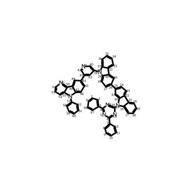 c1ccc(-c2nc(-c3ccccc3)nc(-n3c4ccccc4c4ccc(-c5ccc6c(c5)c5ccccc5n6-c5cncc(-c6ccc7c(c6)c6ncccc6n7-c6ccccc6)c5)cc43)n2)cc1